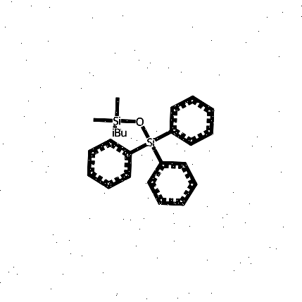 CCC(C)[Si](C)(C)O[Si](c1ccccc1)(c1ccccc1)c1ccccc1